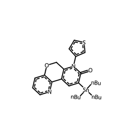 CCC[CH2][Sn]([CH2]CCC)([CH2]CCC)[c]1cc2c(n(-c3ccsc3)c1=O)COc1cccnc1-2